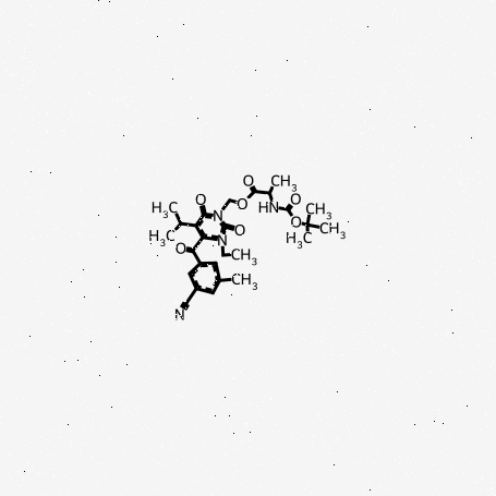 CCn1c(C(=O)c2cc(C)cc(C#N)c2)c(C(C)C)c(=O)n(COC(=O)C(C)NC(=O)OC(C)(C)C)c1=O